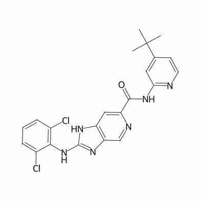 CC(C)(C)c1ccnc(NC(=O)c2cc3[nH]c(Nc4c(Cl)cccc4Cl)nc3cn2)c1